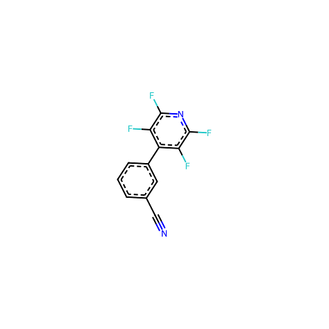 N#Cc1cccc(-c2c(F)c(F)nc(F)c2F)c1